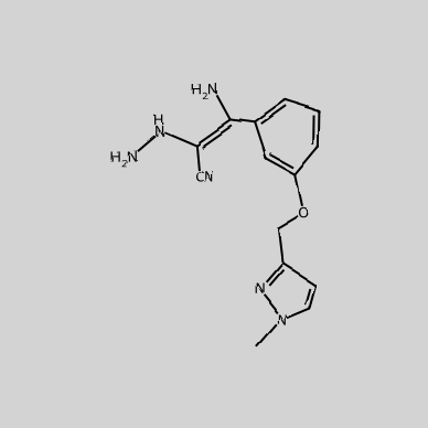 Cn1ccc(COc2cccc(/C(N)=C(\C#N)NN)c2)n1